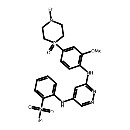 CCN1CCP(=O)(c2ccc(Nc3cc(Nc4ccccc4S(=O)(=O)C(C)C)cnn3)c(OC)c2)CC1